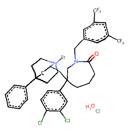 CC[N+]12CCC(c3ccccc3)(CC1)CC2C1(c2ccc(Cl)c(Cl)c2)CCCC(=O)N(Cc2cc(C(F)(F)F)cc(C(F)(F)F)c2)C1.O.[Cl-]